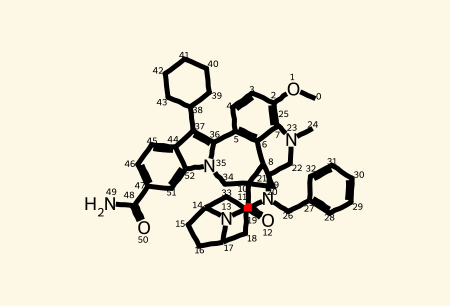 COc1ccc2c(c1)C1CC1(C(=O)N1C3CCC1CC(N(CCN(C)C)Cc1ccccc1)C3)Cn1c-2c(C2CCCCC2)c2ccc(C(N)=O)cc21